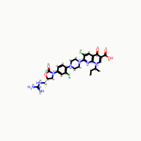 CCC(C)n1cc(C(=O)O)c(=O)c2cc(F)c(N3CCN(c4ccc(N5C[C@H](CNC(=N)N)OC5=O)cc4F)CC3)nc21